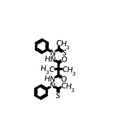 CC(=S)N(NC(=O)C(C)(C)C(=O)NN(C(C)=S)c1ccccc1)c1ccccc1